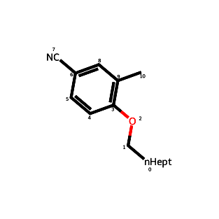 CCCCCCCCOc1ccc(C#N)cc1C